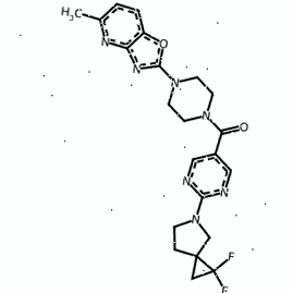 Cc1ccc2oc(N3CCN(C(=O)c4cnc(N5CCC6(C5)CC6(F)F)nc4)CC3)nc2n1